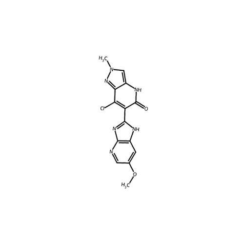 COc1cnc2nc(-c3c(Cl)c4nn(C)cc4[nH]c3=O)[nH]c2c1